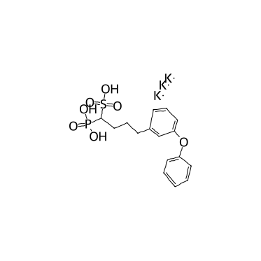 O=P(O)(O)C(CCCc1cccc(Oc2ccccc2)c1)S(=O)(=O)O.[K].[K].[K]